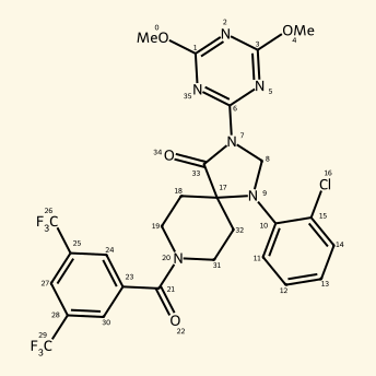 COc1nc(OC)nc(N2CN(c3ccccc3Cl)C3(CCN(C(=O)c4cc(C(F)(F)F)cc(C(F)(F)F)c4)CC3)C2=O)n1